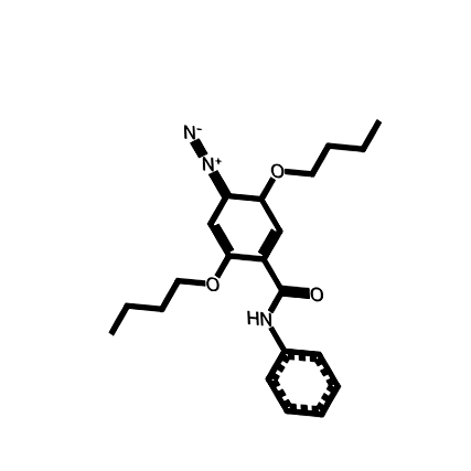 CCCCOC1=CC(=[N+]=[N-])C(OCCCC)C=C1C(=O)Nc1ccccc1